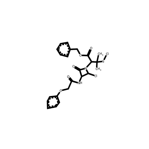 CC(C)(SCl)C(C(=O)OCc1ccccc1)N1C(=O)C(NC(=O)COc2ccccc2)C1Cl